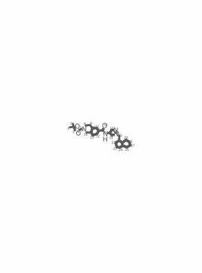 CC(C)(C)OC(=O)N1CCc2cc(C(=O)Nc3cnn(Cc4cccc5ccccc45)c3)ccc2C1